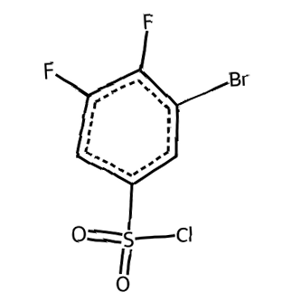 O=S(=O)(Cl)c1cc(F)c(F)c(Br)c1